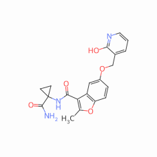 Cc1oc2ccc(OCc3cccnc3O)cc2c1C(=O)NC1(C(N)=O)CC1